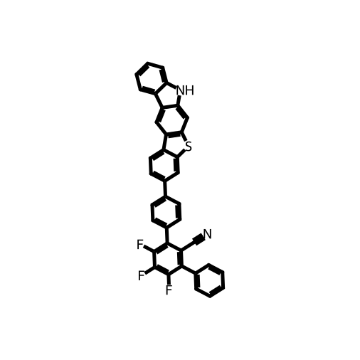 N#Cc1c(-c2ccccc2)c(F)c(F)c(F)c1-c1ccc(-c2ccc3c(c2)sc2cc4[nH]c5ccccc5c4cc23)cc1